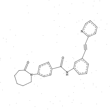 O=C(Nc1cccc(C#Cc2ccccn2)c1)c1ccc(N2CCCCCC2=O)cc1